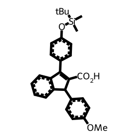 COc1ccc(C2C(C(=O)O)=C(c3ccc(O[Si](C)(C)C(C)(C)C)cc3)c3ccccc32)cc1